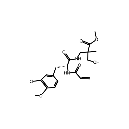 C=CC(=O)N[C@H](Cc1ccc(OC)c(Cl)c1)C(=O)NCC(C)(CO)C(=O)OC